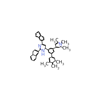 C=C1C(C)=CC(c2cc(C3=CC(C)N(C)C(C)=C3)cc(C3C=C(c4ccc5ccccc5c4)N=C(C4=CCC5C=CC=CC5=C4)N3)c2)=CC1C